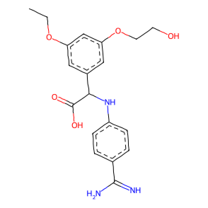 CCOc1cc(OCCO)cc(C(Nc2ccc(C(=N)N)cc2)C(=O)O)c1